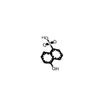 O=S(=O)(O)c1cc[c]c2c(O)cccc12